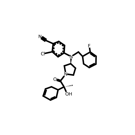 C[C@@](O)(C(=O)N1CC[C@H](N(CC2CC=CC=C2F)c2ccc(C#N)c(Cl)c2)C1)C1C=CC=CC1